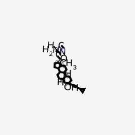 C/C=N\N(N)CC(=O)[C@H]1CCC2C3CC[C@@H]4C[C@@](O)(C#CC5CC5)CC[C@@H]4C3CC[C@@]21C